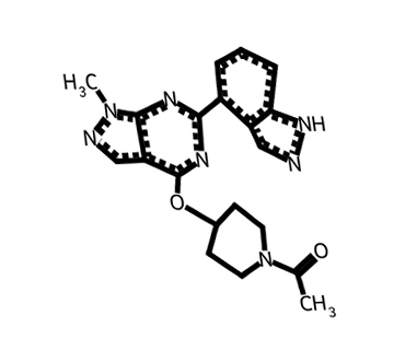 CC(=O)N1CCC(Oc2nc(-c3cccc4[nH]ncc34)nc3c2cnn3C)CC1